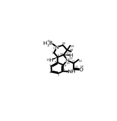 BN1C[C@H]2c3cccc4c3N(C(C)C(=O)N4)[C@H]2C(C)(C)C1